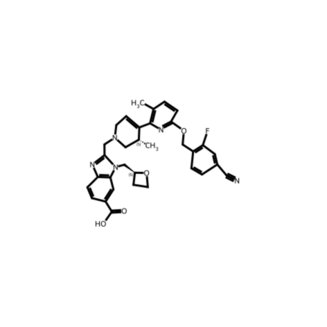 Cc1ccc(OCc2ccc(C#N)cc2F)nc1C1=CCN(Cc2nc3ccc(C(=O)O)cc3n2C[C@@H]2CCO2)C[C@H]1C